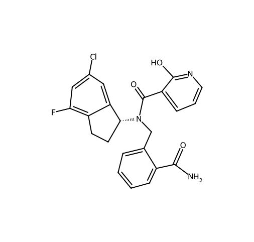 NC(=O)c1ccccc1CN(C(=O)c1cccnc1O)[C@@H]1CCc2c(F)cc(Cl)cc21